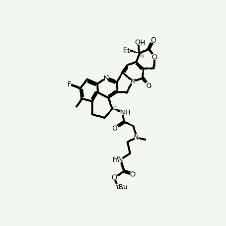 CC[C@@]1(O)C(=O)OCc2c1cc1n(c2=O)Cc2c-1nc1cc(F)c(C)c3c1c2[C@@H](NC(=O)CN(C)CCNC(=O)OC(C)(C)C)CC3